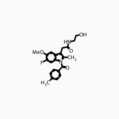 COc1cc2c(CC(=O)NCCO)c(C)n(C(=O)c3ccc(C)cc3)c2cc1F